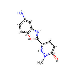 Cn1nc(-c2nc3cc(N)ccc3o2)ccc1=O